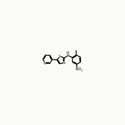 Cc1ccc([N+](=O)[O-])cc1Nc1ncc(-c2cccnc2)s1